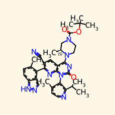 Cc1ccnc(C(C)C)c1-n1c(=O)nc(N2CCN(C(=O)OC(C)(C)C)C[C@@H]2C)c2cc(C#N)c(-c3c(C)ccc4[nH]ncc34)nc21